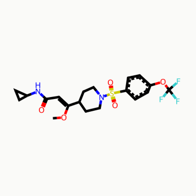 COC(=CC(=O)NC1CC1)C1CCN(S(=O)(=O)c2ccc(OC(F)(F)F)cc2)CC1